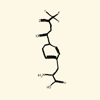 NC(CC1=CCC(C(=O)CC(=O)C(F)(F)F)C=C1)C(=O)O